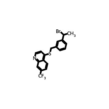 CC(Br)c1cccc(CSc2ccnc3cc(C(F)(F)F)ccc23)c1